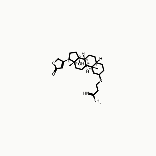 C[C@]12CC(SCCC(=N)N)CC[C@H]1CC[C@@H]1[C@@H]2CC[C@]2(C)[C@@H](C3=CC(=O)OC3)CC[C@]12O